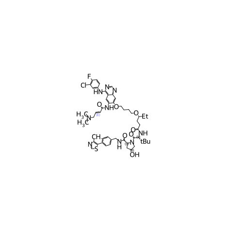 CCC(CCC(=O)N[C@H](C(=O)N1C[C@H](O)C[C@H]1C(=O)NCc1ccc(-c2scnc2C)cc1)C(C)(C)C)OCCCCOc1cc2ncnc(Nc3ccc(F)c(Cl)c3)c2cc1NC(=O)/C=C/CN(C)C